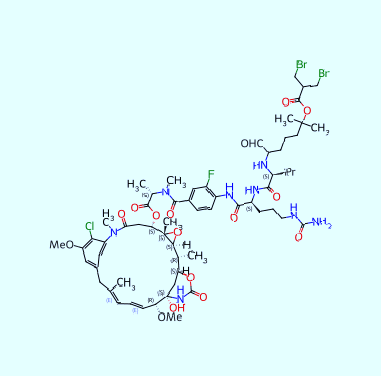 COc1cc2cc(c1Cl)N(C)C(=O)C[C@H](OC(=O)[C@H](C)N(C)C(=O)c1ccc(NC(=O)[C@H](CCCNC(N)=O)NC(=O)[C@@H](NC(C=O)CCCC(C)(C)OC(=O)C(CBr)CBr)C(C)C)c(F)c1)[C@]1(C)O[C@H]1[C@H](C)[C@@H]1C[C@@](O)(NC(=O)O1)[C@H](OC)/C=C/C=C(\C)C2